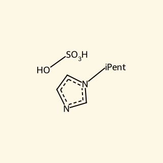 CCCC(C)n1ccnc1.O=S(=O)(O)O